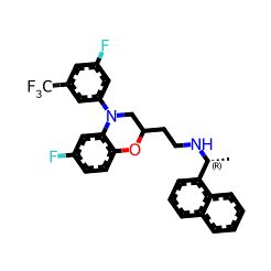 C[C@@H](NCCC1CN(c2cc(F)cc(C(F)(F)F)c2)c2cc(F)ccc2O1)c1cccc2ccccc12